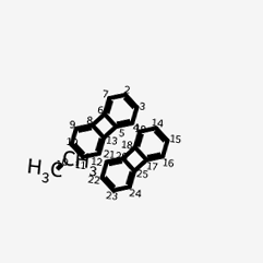 CC.c1ccc2c(c1)-c1ccccc1-2.c1ccc2c(c1)-c1ccccc1-2